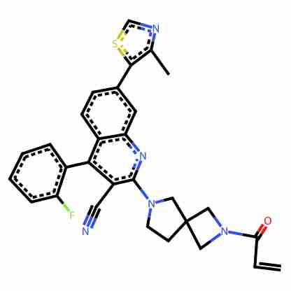 C=CC(=O)N1CC2(CCN(c3nc4cc(-c5scnc5C)ccc4c(-c4ccccc4F)c3C#N)C2)C1